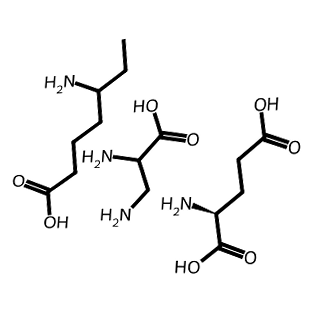 CCC(N)CCCC(=O)O.NCC(N)C(=O)O.N[C@@H](CCC(=O)O)C(=O)O